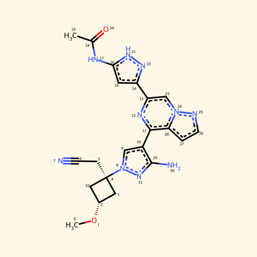 CO[C@H]1C[C@](CC#N)(n2cc(-c3nc(-c4cc(NC(C)=O)[nH]n4)cn4nccc34)c(N)n2)C1